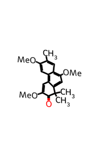 COC1=Cc2c(cc(OC)c3cc(C)c(OC)cc23)C(C)(C)C1=O